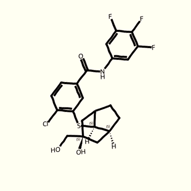 O=C(Nc1cc(F)c(F)c(F)c1)c1ccc(Cl)c(S[C@H]2C3CC[C@H]2C[C@](O)(CO)C3)c1